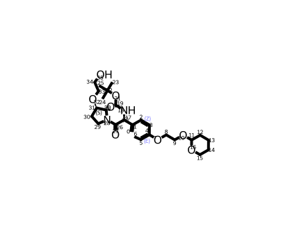 C=C(/C=C\C(=C/C)OCCOC1CCCCO1)[C@H](NC(=O)OC(C)(C)C)C(=O)N1CC[C@H](OCCO)C1